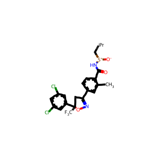 Cc1cc(C2=NOC(c3cc(Cl)cc(Cl)c3)(C(F)(F)F)C2)ccc1C(=O)N[S+]([O-])CC(C)C